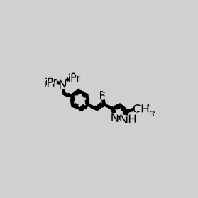 Cc1cc(/C(F)=C/c2ccc(CN(C(C)C)C(C)C)cc2)n[nH]1